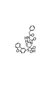 O=C(Cc1ccccc1)N[C@@H]1C(=O)N2CC(Sc3ccc4oc5ccccc5c4c3)(C(=O)O)CS[C@H]12